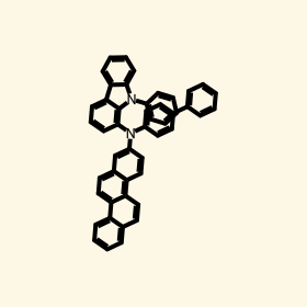 c1ccc(-c2ccc(N(c3ccc4c(ccc5c6ccccc6ccc45)c3)c3cccc4c5ccccc5n(-c5ccccc5)c34)cc2)cc1